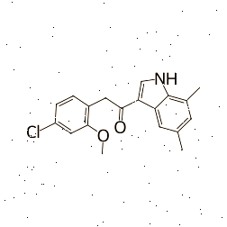 COc1cc(Cl)ccc1CC(=O)c1c[nH]c2c(C)cc(C)cc12